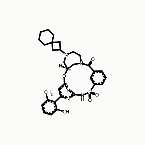 Cc1cccc(C)c1-c1cc2nc(n1)NS(=O)(=O)c1cccc(c1)C(=O)N1CCN(C3CC4(CCCCC4)C3)C[C@H](C1)O2